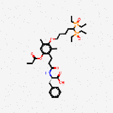 CCC(=O)Oc1cc(C)c(OCCCCC(P(=O)(CC)CC)P(=O)(CC)CC)c(C)c1CCC(=O)N[C@@H](Cc1ccccc1)C(=O)O